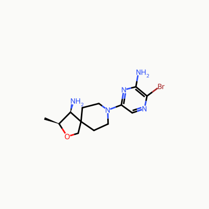 C[C@@H]1OCC2(CCN(c3cnc(Br)c(N)n3)CC2)[C@@H]1N